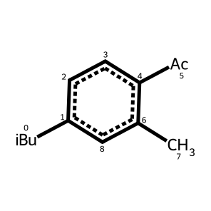 CCC(C)c1ccc(C(C)=O)c(C)c1